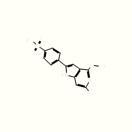 COc1nc(Cl)cc2[nH]c(-c3ccc(S(C)(=O)=O)cc3)cc12